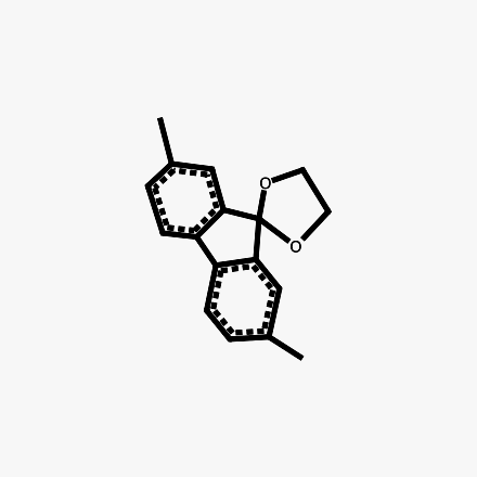 Cc1ccc2c(c1)C1(OCCO1)c1cc(C)ccc1-2